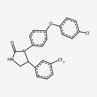 O=C1NCC(c2cccc(C(F)(F)F)c2)N1c1ccc(Oc2ccc(Cl)cc2)cc1